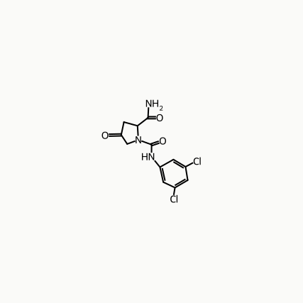 NC(=O)C1CC(=O)CN1C(=O)Nc1cc(Cl)cc(Cl)c1